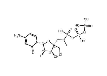 CC(C[C@@]1(CCl)O[C@@H](n2ccc(N)nc2=O)[C@H](F)[C@@H]1O)P(=O)(O)OP(=O)(O)OP(=O)(O)O